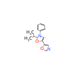 CC(C)C1OC(c2cnco2)=[C]N1c1ccccc1